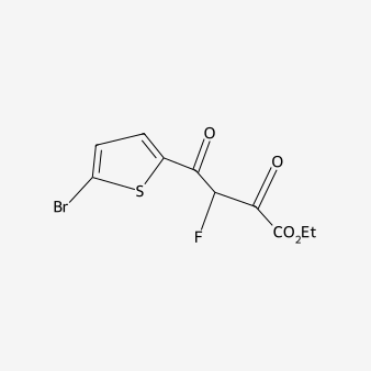 CCOC(=O)C(=O)C(F)C(=O)c1ccc(Br)s1